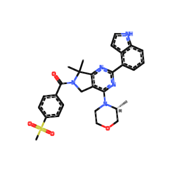 C[C@@H]1COCCN1c1nc(-c2cccc3[nH]ccc23)nc2c1CN(C(=O)c1ccc(S(C)(=O)=O)cc1)C2(C)C